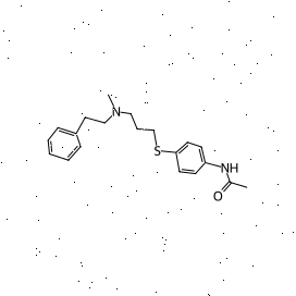 CC(=O)Nc1ccc(SCCCN(C)CCc2ccccc2)cc1